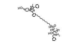 Cc1nn2c(N3CCN(CCO)CC3)cc(-c3cccc(CCCCCCCCCCCCCNC(=O)[C@H](CC(C)C)NC(=O)[C@@H](O)[C@H](N)Cc4ccccc4)c3)nc2c1-c1ccccc1